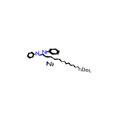 CCCCCCCCCCCCCCCCCCCCC=CC(C=Nc1ccccc1)=Nc1ccccc1.[Ni]